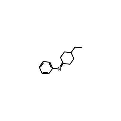 CCC1CCC(=Nc2ccccc2)CC1